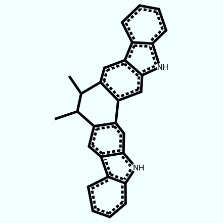 CC1c2cc3c(cc2-c2cc4[nH]c5ccccc5c4cc2C1C)[nH]c1ccccc13